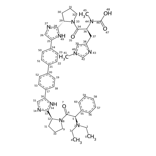 CCN(CC)[C@@H](C(=O)N1CCC[C@H]1c1ncc(-c2ccc(-c3ccc(-c4cnc([C@@H]5CCCN5C(=O)[C@H](Cc5cn(C)cn5)N(C)C(=O)O)[nH]4)cc3)cc2)[nH]1)c1ccccc1